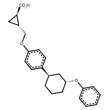 O=C(O)[C@@H]1C[C@H]1COc1ccc([C@@H]2CCC[C@@H](Oc3ccccc3)C2)cc1